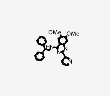 COc1cc2nc(-c3cccnc3)nc(NCC(c3ccccc3)c3ccccc3)c2cc1OC